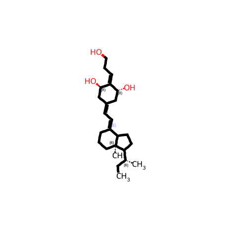 CC[C@@H](C)C1CCC2/C(=C/C=C3C[C@@H](O)C(=CCCO)[C@H](O)C3)CCC[C@@]21C